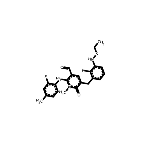 CCSNc1cccc(Cc2cc(C=O)c(Nc3ccc(C)cc3F)n(C)c2=O)c1F